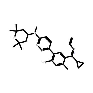 C=C/N=C(\c1cc(-c2ccc(N(C)C3CC(C)(C)NC(C)(C)C3)nn2)c(O)cc1C)C1CC1